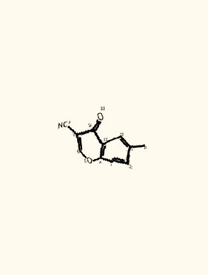 Cc1ccc2occ(C#N)c(=O)c2c1